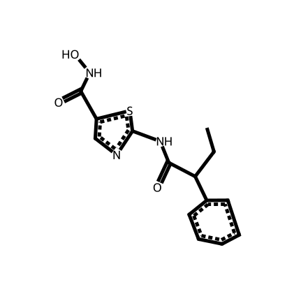 CCC(C(=O)Nc1ncc(C(=O)NO)s1)c1ccccc1